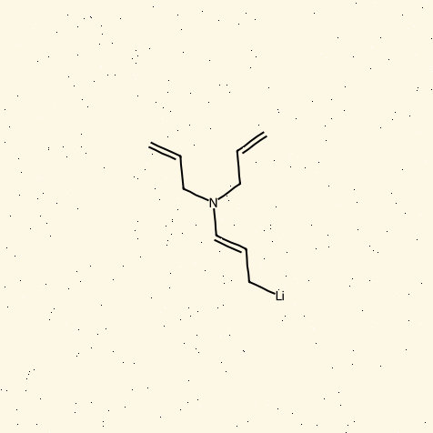 [Li][CH2]C=CN(CC=C)CC=C